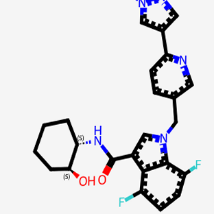 Cn1cc(-c2ccc(Cn3cc(C(=O)N[C@H]4CCCC[C@@H]4O)c4c(F)ccc(F)c43)cn2)cn1